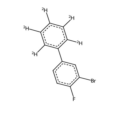 [2H]c1c([2H])c([2H])c(-c2ccc(F)c(Br)c2)c([2H])c1[2H]